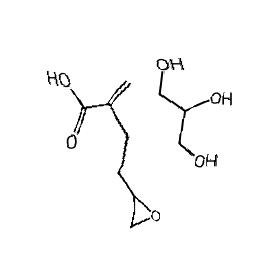 C=C(CCC1CO1)C(=O)O.OCC(O)CO